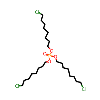 O=P(OCCCCCCCCCl)(OCCCCCCCCCl)OCCCCCCCCCl